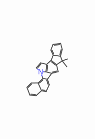 CC1(C)c2ccccc2-c2c1cc1c3ccc4ccccc4c3n3ccc2c13